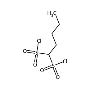 CCCCC(S(=O)(=O)Cl)S(=O)(=O)Cl